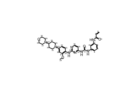 C=CC(=O)Nc1cccc(NC(=O)Nc2ccnc(Nc3ccc(N4CCC(N5CCOCC5)CC4)cc3OC)n2)c1